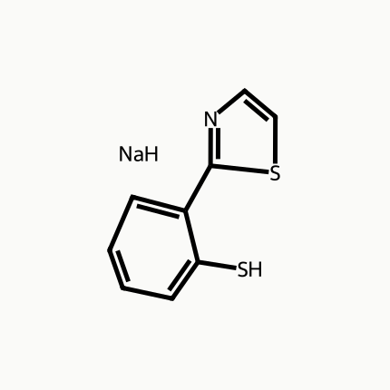 Sc1ccccc1-c1nccs1.[NaH]